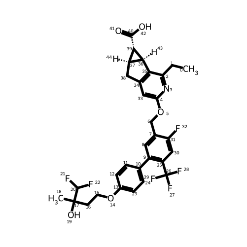 CCc1nc(OCc2cc(-c3ccc(OCCC(C)(O)C(F)F)cc3)c(C(F)(F)F)cc2F)cc2c1[C@H]1[C@@H](C2)[C@@H]1C(=O)O